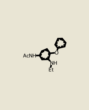 CCNc1cc(NC(C)=O)ccc1Oc1ccccc1